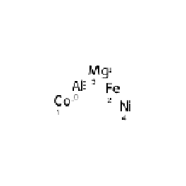 [Al].[Co].[Fe].[Mg].[Ni]